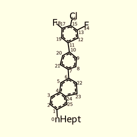 CCCCCCCc1ccc2cc(-c3ccc(-c4cc(F)c(Cl)c(F)c4)cc3)ccc2c1